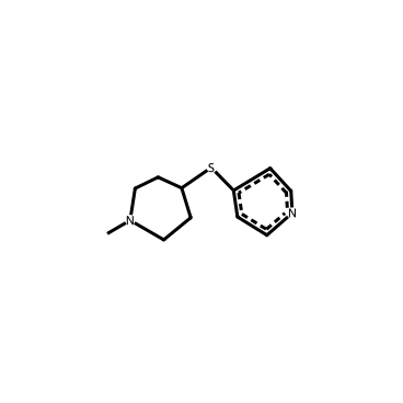 CN1CCC(Sc2ccncc2)CC1